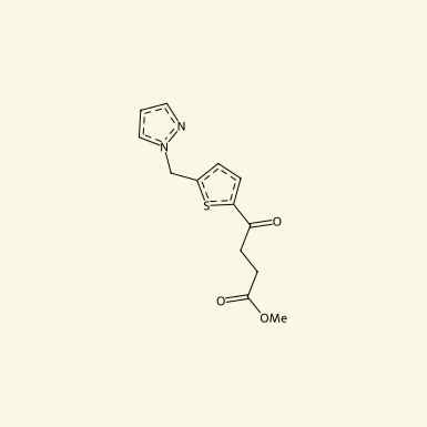 COC(=O)CCC(=O)c1ccc(Cn2cccn2)s1